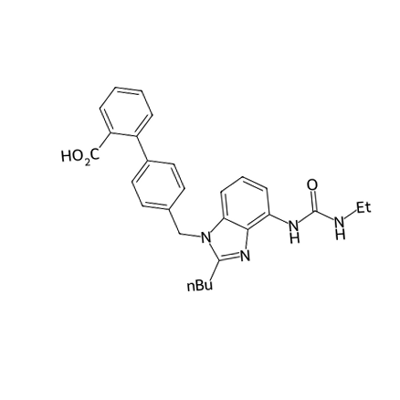 CCCCc1nc2c(NC(=O)NCC)cccc2n1Cc1ccc(-c2ccccc2C(=O)O)cc1